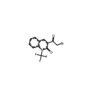 O=C(CBr)c1cc2ccccc2n(C(F)(F)F)c1=O